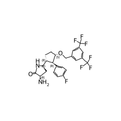 N[C@@H]1C[C@H]([C@@H]2CC[C@H](OCc3cc(C(F)(F)F)cc(C(F)(F)F)c3)[C@H]2c2ccc(F)cc2)NC1=O